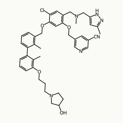 Cc1cc(CN(C)Cc2cc(Cl)c(OCc3cccc(-c4cccc(OCCCN5CCC(O)C5)c4C)c3C)cc2OCc2cncc(C#N)c2)[nH]n1